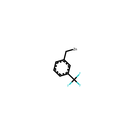 FC(F)(F)c1cccc([CH2][Zn])c1